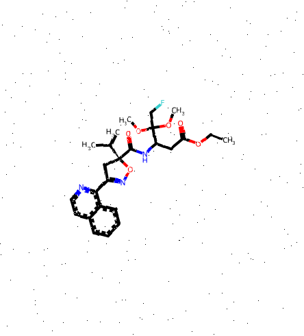 CCOC(=O)CC(NC(=O)[C@@]1(C(C)C)CC(c2nccc3ccccc23)=NO1)C(CF)(OC)OC